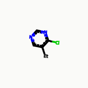 CCc1cncnc1Cl